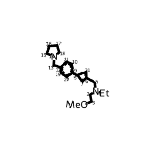 CCN(CCOC)CC1CC(c2ccc(CN3CCCC3)cc2)C1